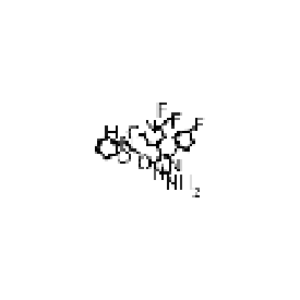 Cc1cc(-c2c(OCc3nc4ccccc4o3)nc(N)nc2-c2ccc(F)cc2)cc(C(F)F)n1